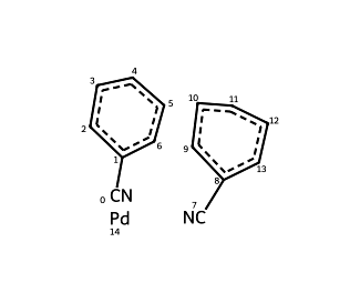 N#Cc1ccccc1.N#Cc1ccccc1.[Pd]